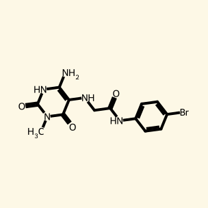 Cn1c(=O)[nH]c(N)c(NCC(=O)Nc2ccc(Br)cc2)c1=O